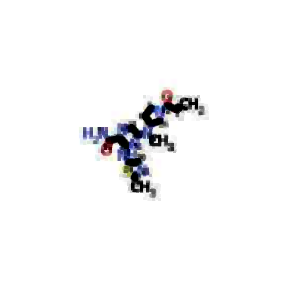 C=CC(=O)N1CCC(N(C)c2cnc(C(N)=O)c(Nc3cnc(C)s3)n2)C1